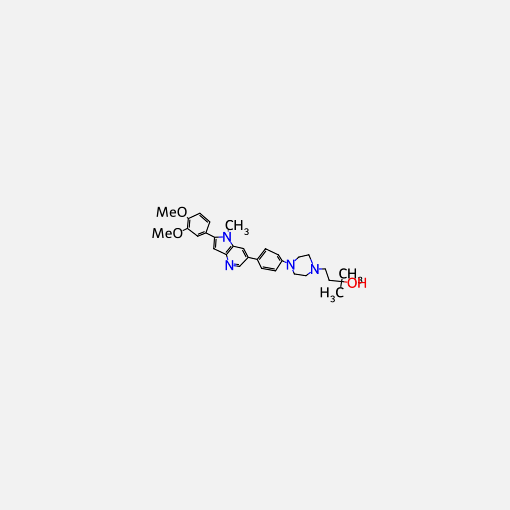 COc1ccc(-c2cc3ncc(-c4ccc(N5CCN(CCC(C)(C)O)CC5)cc4)cc3n2C)cc1OC